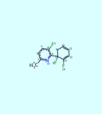 Cc1ccc(F)c(C2(F)CC=CC=C2F)n1